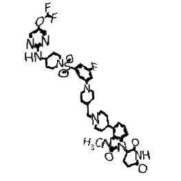 Cn1c(=O)n(C2CCC(=O)NC2=O)c2cccc(C3CCN(CC4CCN(c5cc(F)cc(S(=O)(=O)N6CCC(Nc7ncc(OC(F)F)cn7)CC6)c5)CC4)CC3)c21